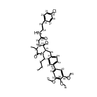 CCCCN1C(=O)C(C)N(CC(=O)NCCc2ccc(Cl)cc2)C(=O)C1Cc1ccc(-c2cc(OC)c(OC)c(OC)c2)cc1